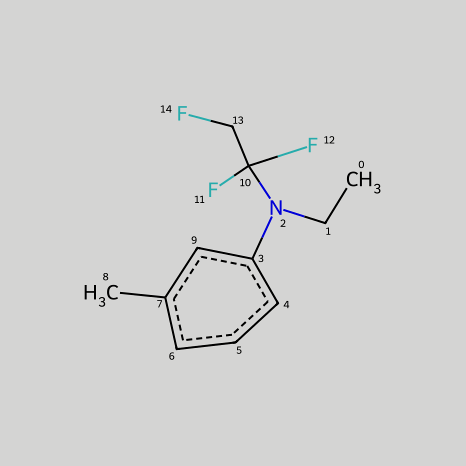 CCN(c1cccc(C)c1)C(F)(F)CF